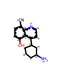 N#Cc1ccc(O)c2c(C3CCCC(N)C3)ccnc12